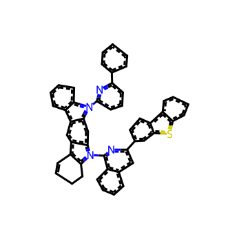 C1=Cc2c(n(-c3nc(-c4ccc5c(c4)sc4ccccc45)cc4ccccc34)c3cc4c(cc23)c2ccccc2n4-c2cccc(-c3ccccc3)n2)CC1